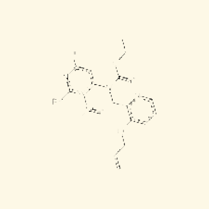 C=CCOc1cccnc1CN(C(=O)OCC)c1cc(Br)nc(Br)c1[N+](=O)[O-]